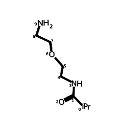 CC(C)C(=O)NCCOCCN